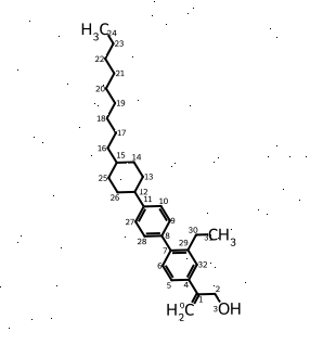 C=C(CO)c1ccc(-c2ccc(C3CCC(CCCCCCCCC)CC3)cc2)c(CC)c1